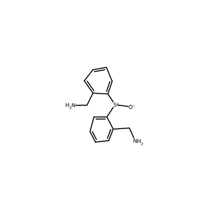 NCc1ccccc1[S+]([O-])c1ccccc1CN